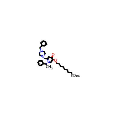 CCCCCCCCCCCCCCCCCCOc1cn(C(C)c2ccccc2)c(CN2CCN(Cc3ccccc3)CC2)cc1=O